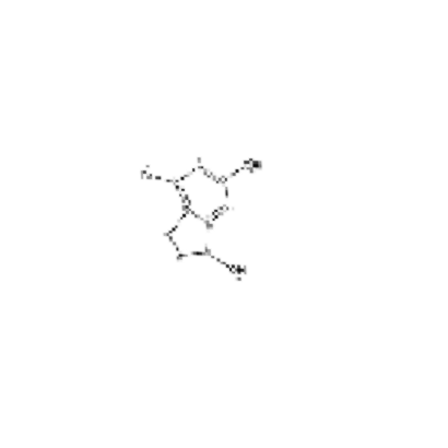 CC(C)(C)c1cc(Br)c2c(c1)C(O)CC2